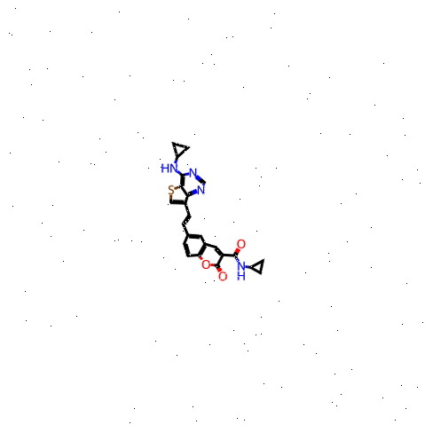 O=C(NC1CC1)c1cc2cc(C=Cc3csc4c(NC5CC5)ncnc34)ccc2oc1=O